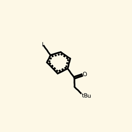 CC(C)(C)CC(=O)c1ccc(I)cc1